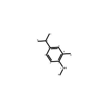 CNc1ccc(C(C)C)cc1C